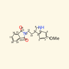 COc1ccc2c(c1)NCC2CCN1C(=O)c2ccccc2C1=O